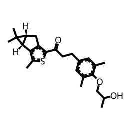 Cc1cc(CCC(=O)c2sc(C)c3c2C[C@@H]2[C@H]3C2(C)C)cc(C)c1OCC(C)O